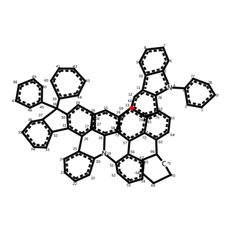 c1ccc(-n2c3ccccc3c3cc(-c4cccc(N(c5ccccc5-c5cccc6c5-c5ccccc5C6(c5ccccc5)c5ccccc5)c5ccccc5-c5cccc6cccc(C7CCCCC7)c56)c4)ccc32)cc1